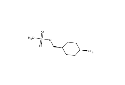 CS(=O)(=O)OC[C@H]1CC[C@@H](C(F)(F)F)CC1